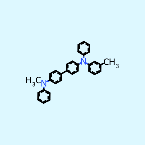 Cc1cccc(N(c2ccccc2)c2ccc(-c3ccc(N(C)c4ccccc4)cc3)cc2)c1